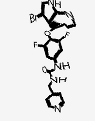 O=C(NCc1ccncc1)Nc1cc(F)c(Oc2ccnc3[nH]cc(Br)c23)c(F)c1